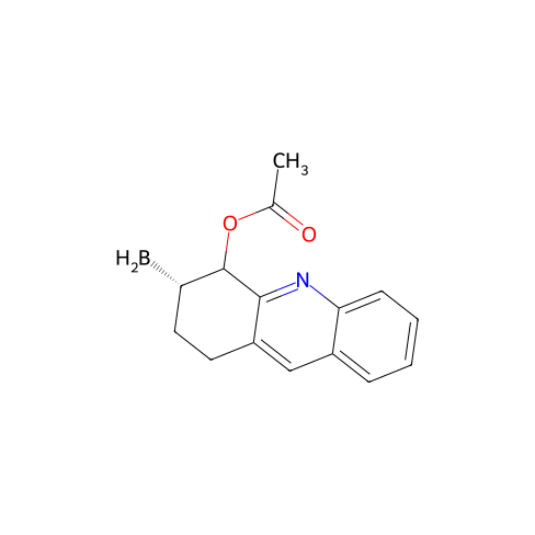 B[C@H]1CCc2cc3ccccc3nc2C1OC(C)=O